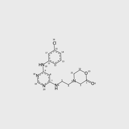 O=C1CN(CCNc2cc(Nc3cccc(Cl)c3)ncn2)CCO1